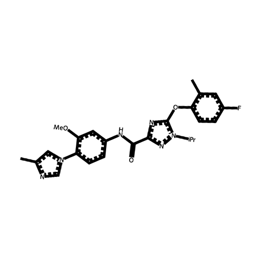 COc1cc(NC(=O)c2nc(Oc3ccc(F)cc3C)n(C(C)C)n2)ccc1-n1cnc(C)c1